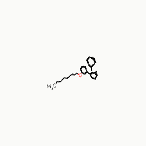 CCCCCCCCOc1cccc(-c2ccccc2-c2ccccc2)c1